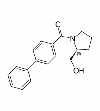 O=C(c1ccc(-c2ccccc2)cc1)N1CCC[C@H]1CO